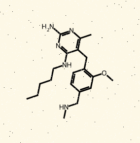 CCCCCNc1nc(N)nc(C)c1Cc1ccc(CNC)cc1OC